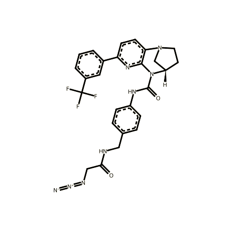 [N-]=[N+]=NCC(=O)NCc1ccc(NC(=O)N2c3nc(-c4cccc(C(F)(F)F)c4)ccc3N3CC[C@H]2C3)cc1